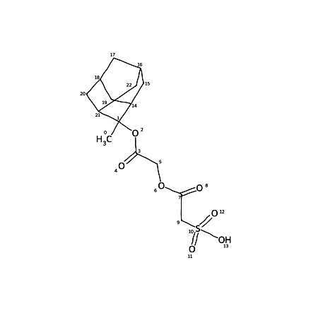 CC1(OC(=O)COC(=O)CS(=O)(=O)O)C2CC3CC(C2)CC1C3